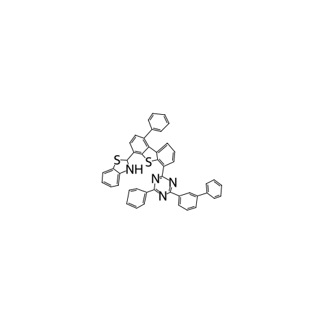 c1ccc(-c2cccc(-c3nc(-c4ccccc4)nc(-c4cccc5c4sc4c(C6Nc7ccccc7S6)ccc(-c6ccccc6)c45)n3)c2)cc1